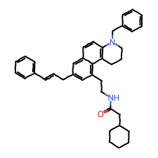 O=C(CC1CCCCC1)NCCc1cc(CC=Cc2ccccc2)cc2ccc3c(c12)CCCN3Cc1ccccc1